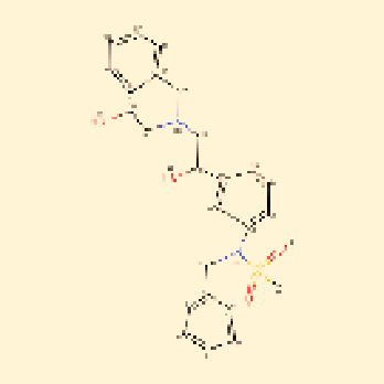 CS(=O)(=O)N(Cc1ccccc1)c1cccc(C(O)CN(CCO)Cc2ccccc2)c1